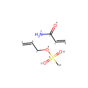 C=CC(N)=O.C=CCOS(C)(=O)=O